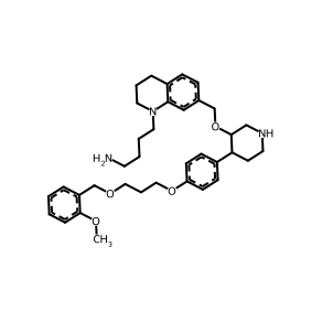 COc1ccccc1COCCCOc1ccc(C2CCNCC2OCc2ccc3c(c2)N(CCCCN)CCC3)cc1